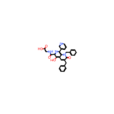 O=C(O)CNC(=O)c1nc(-c2cccnc2)c2c(cc(Cc3ccccc3)c(=O)n2Cc2ccccc2)c1O